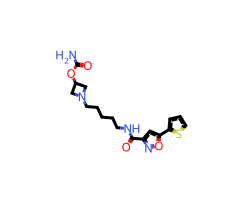 NC(=O)OC1CN(CCCCCNC(=O)c2cc(-c3cccs3)on2)C1